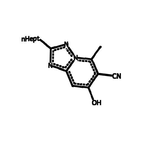 CCCCCCCc1nc2cc(O)c(C#N)c(C)n2n1